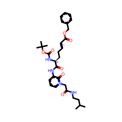 CC(C)CCNC(=O)Cn1cccc(NC(=O)[C@H](CC/C=C/C(=O)OCc2ccccc2)NC(=O)OC(C)(C)C)c1=O